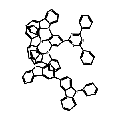 c1ccc(-c2nc(-c3ccccc3)nc(-c3cc(-n4c5ccccc5c5ccccc54)c(-n4c5ccccc5c5ccc(-n6c7ccccc7c7cc(-c8ccc9c(c8)c8ccccc8n9-c8ccccc8)ccc76)cc54)c(-n4c5ccccc5c5ccccc54)c3)n2)cc1